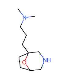 CN(C)CCCC12CCC(CNC1)O2